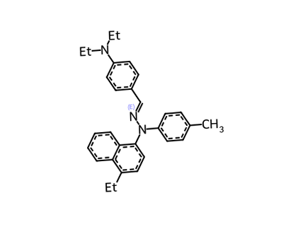 CCc1ccc(N(/N=C/c2ccc(N(CC)CC)cc2)c2ccc(C)cc2)c2ccccc12